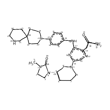 CN1CCN([C@H]2CCCN(c3cnc(C(N)=O)c(Nc4ccc(N5CCC6(CCCNC6)CC5)cc4)n3)C2)C1=O